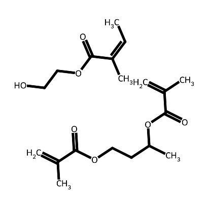 C=C(C)C(=O)OCCC(C)OC(=O)C(=C)C.CC=C(C)C(=O)OCCO